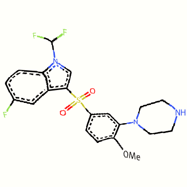 COc1ccc(S(=O)(=O)c2cn(C(F)F)c3ccc(F)cc23)cc1N1CCNCC1